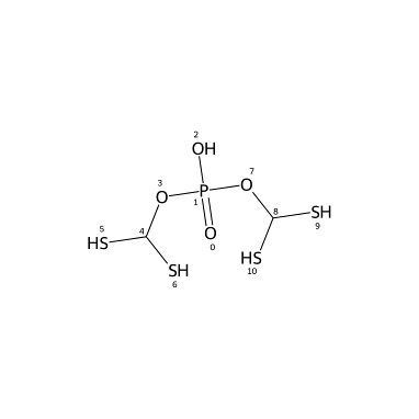 O=P(O)(OC(S)S)OC(S)S